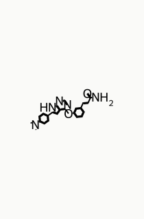 CN(C)c1ccc(-c2cc3c(Oc4cccc(C=CC(N)=O)c4)ncnc3[nH]2)cc1